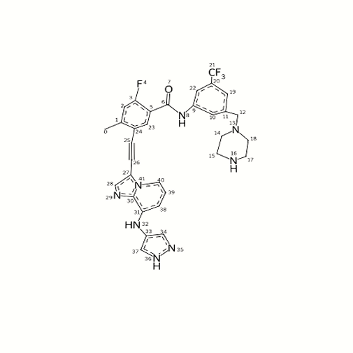 Cc1cc(F)c(C(=O)Nc2cc(CN3CCNCC3)cc(C(F)(F)F)c2)cc1C#Cc1cnc2c(Nc3cn[nH]c3)cccn12